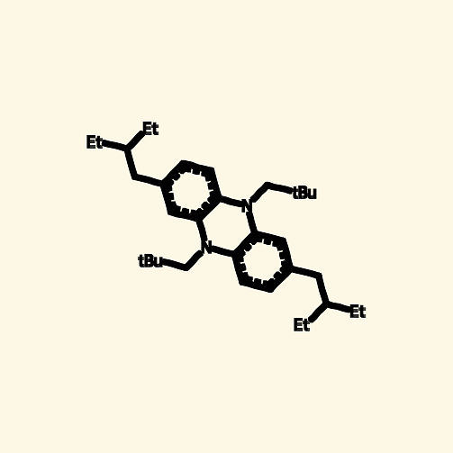 CCC(CC)Cc1ccc2c(c1)N(CC(C)(C)C)c1ccc(CC(CC)CC)cc1N2CC(C)(C)C